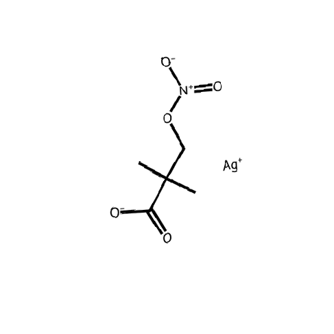 CC(C)(CO[N+](=O)[O-])C(=O)[O-].[Ag+]